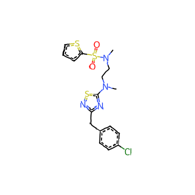 CN(CCN(C)S(=O)(=O)c1cccs1)c1nc(Cc2ccc(Cl)cc2)ns1